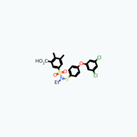 CCN(Sc1ccc(Oc2cc(Cl)cc(Cl)c2)cc1)S(=O)(=O)c1cc(C)c(C)c(C(=O)O)c1